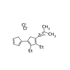 CCC1=[C]([Zr+2]=[C](C)C)CC(C2=CC=CC2)=C1CC.[Cl-].[Cl-]